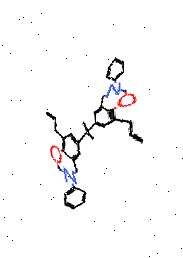 C=CCc1cc(C(C)(C)c2cc(CC=C)c3c(c2)CN(c2ccccc2)CO3)cc2c1OCN(c1ccccc1)C2